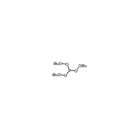 CC(C)COOB(OOCC(C)C)OOCC(C)C